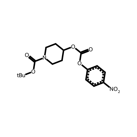 CC(C)(C)OC(=O)N1CCC(OC(=O)Oc2ccc([N+](=O)[O-])cc2)CC1